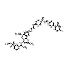 COc1cc2c(NC(C)c3cccc(C(F)(F)CO)c3)nc(C)nc2c(CCCCCCN2CCN(C(=O)COc3ccc(C4CCC(=O)NC4=O)cc3)CC2)c1OC